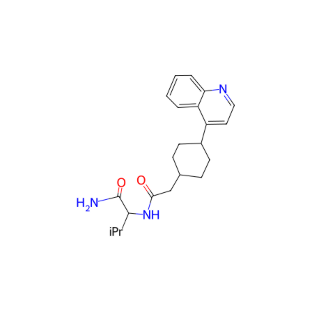 CC(C)C(NC(=O)CC1CCC(c2ccnc3ccccc23)CC1)C(N)=O